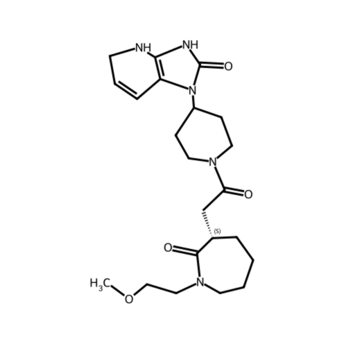 COCCN1CCCC[C@@H](CC(=O)N2CCC(n3c4c([nH]c3=O)NCC=C4)CC2)C1=O